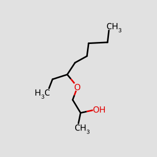 CCCCCC(CC)OCC(C)O